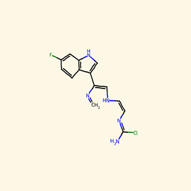 C=N/C(=C\N/C=C\N=C(\N)Cl)c1c[nH]c2cc(F)ccc12